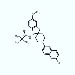 COc1ccc2c(c1)CC1(CCN(c3cnc4nc(Cl)ccc4n3)CC1)[C@@H]2N[S@+]([O-])C(C)(C)C